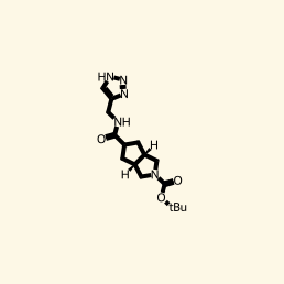 CC(C)(C)OC(=O)N1C[C@H]2CC(C(=O)NCc3c[nH]nn3)C[C@H]2C1